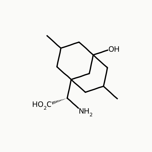 CC1CC2(O)CC(C)CC([C@H](N)C(=O)O)(C1)C2